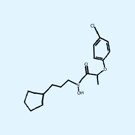 CC(Oc1ccc(Cl)cc1)C(=O)N(O)CCCC1CCCC1